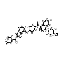 O=C(c1cc2nccc(Sc3ccc(Nc4nnc(-c5ccc(Cl)cc5)c5ccccc45)cc3)c2s1)N1CCOCC1